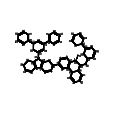 C[C@H]1c2ccc(C3C=Cc4c5c(n(C6=CC(c7ccncc7)=CC(c7ccccc7)C6)c4C3)CCC=C5)cc2C2C=CC=CC2C1CC1C=CC=C(C2C=CC=CC2)C1